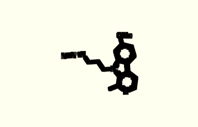 COc1ccc2c3ccnc(C)c3n(CCCN=[N+]=[N-])c2c1